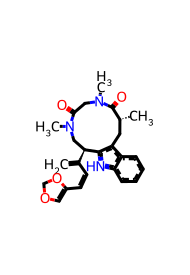 C=C(/C=C\C1=COCO1)[C@H]1CN(C)C(=O)CN(C)C(=O)[C@H](C)Cc2c1[nH]c1ccccc21